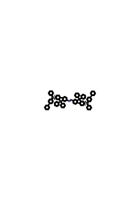 C(=C\c1ccc2c(c1)C(c1ccccc1)(c1ccccc1)c1cc(N(c3ccccc3)c3ccc(-c4ccccc4)cc3)ccc1-2)/c1ccc2c(c1)C(c1ccccc1)(c1ccccc1)c1cc(N(c3ccccc3)c3ccc(-c4ccccc4)cc3)ccc1-2